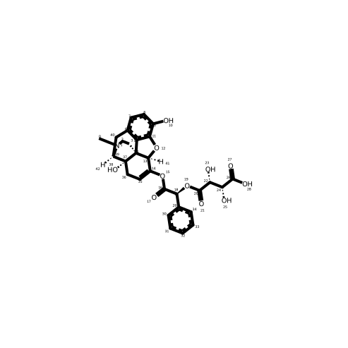 CN1CC[C@]23c4c5ccc(O)c4O[C@H]2C(OC(=O)[C@@H](OC(=O)[C@H](O)[C@@H](O)C(=O)O)c2ccccc2)=CC[C@@]3(O)[C@H]1C5